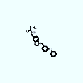 NC(=O)NCc1ccc2c(c1)CCN2Cc1cccc(Oc2ccccc2)c1